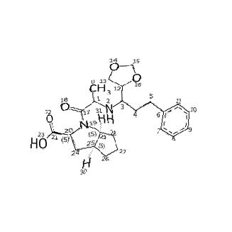 CC(NC(CCc1ccccc1)C1COCO1)C(=O)N1[C@H](C(=O)O)C[C@@H]2CCC[C@@H]21